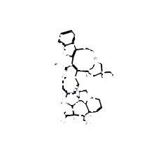 C#C/C=C1\C(=C/C/C2=C(\C(=O)OC)c3[nH]c4ccccc4c3CC[N@@]3C[C@@H]2CC(O)(CC)C3)[C@]23CCN4CC=C[C@](CC)(C42)[C@@H](O)[C@](O)(C(N)=O)C3N1C